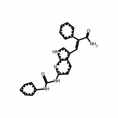 NC(=O)/C(=C/c1c[nH]c2nc(NC(=O)Nc3ccccc3)ccc12)c1ccccc1